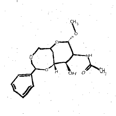 CO[C@H]1OC2COC(c3ccccc3)O[C@H]2[C@H](O)C1NC(C)=O